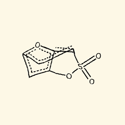 O=S1(=O)Oc2cc3cc1c2o3